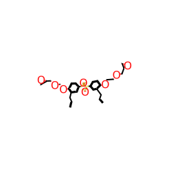 C=CCc1cc(S(=O)(=O)c2ccc(OCOCC3CO3)c(CC=C)c2)ccc1OCCOCC1CO1